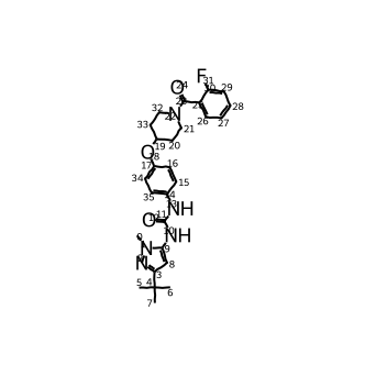 Cn1nc(C(C)(C)C)cc1NC(=O)Nc1ccc(OC2CCN(C(=O)c3ccccc3F)CC2)cc1